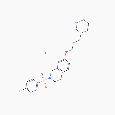 Cl.O=S(=O)(c1ccc(F)cc1)N1CCc2ccc(OCCCC3CCCNC3)cc2C1